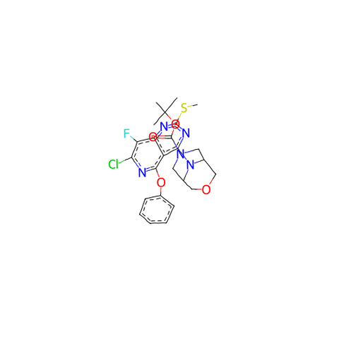 CSc1nc(N2C3COCC2CN(C(=O)OC(C)(C)C)C3)c2c(Oc3ccccc3)nc(Cl)c(F)c2n1